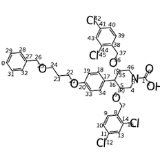 O=C(O)N1C[C@H](OCc2ccc(Cl)cc2Cl)C(c2ccc(OCCCOCc3ccccc3)cc2)[C@H](OCc2ccc(Cl)cc2Cl)C1